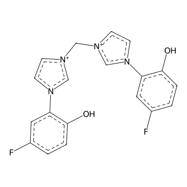 Oc1ccc(F)cc1-n1cc[n+](C[n+]2ccn(-c3cc(F)ccc3O)c2)c1